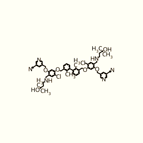 Cc1c(COc2cc(OCc3cncc(C#N)c3)c(CNCCC(C)(C)O)cc2Cl)cccc1-c1cccc(COc2cc(OCc3cncc(C#N)c3)c(CNCCC(C)(C)O)cc2Cl)c1C